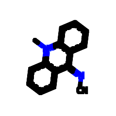 Cn1c2ccccc2c(=NC#N)c2ccccc21